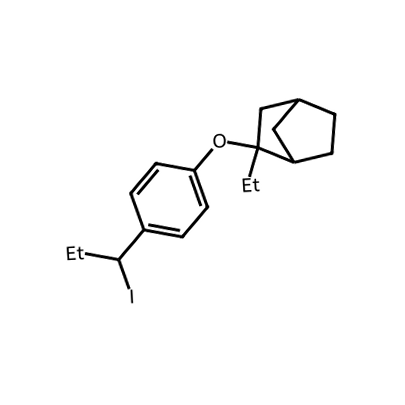 CCC(I)c1ccc(OC2(CC)CC3CCC2C3)cc1